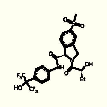 CC[C@@H](O)C(=O)N1Cc2cc(S(C)(=O)=O)ccc2[C@H]1C(=O)Nc1ccc(C(O)(C(F)(F)F)C(F)(F)F)cc1